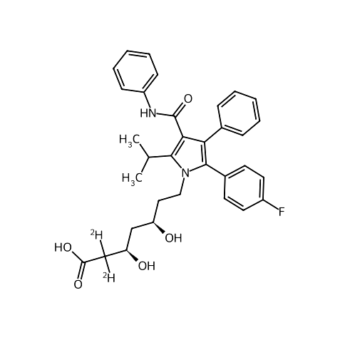 [2H]C([2H])(C(=O)O)[C@H](O)C[C@H](O)CCn1c(-c2ccc(F)cc2)c(-c2ccccc2)c(C(=O)Nc2ccccc2)c1C(C)C